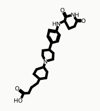 O=C(O)CCCC1CCC(N2CCC(c3ccc(NC4CCC(=O)NC4=O)cc3)CC2)CC1